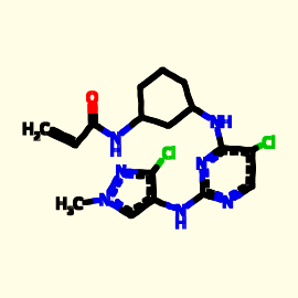 C=CC(=O)NC1CCCC(Nc2nc(Nc3cn(C)nc3Cl)ncc2Cl)C1